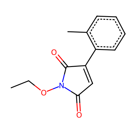 CCON1C(=O)C=C(c2ccccc2C)C1=O